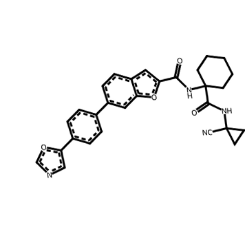 N#CC1(NC(=O)C2(NC(=O)c3cc4ccc(-c5ccc(-c6cnco6)cc5)cc4o3)CCCCC2)CC1